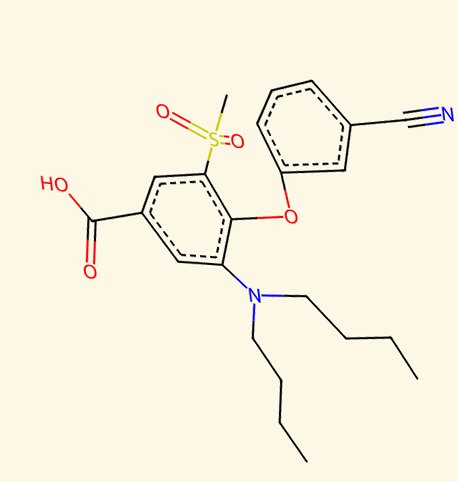 CCCCN(CCCC)c1cc(C(=O)O)cc(S(C)(=O)=O)c1Oc1cccc(C#N)c1